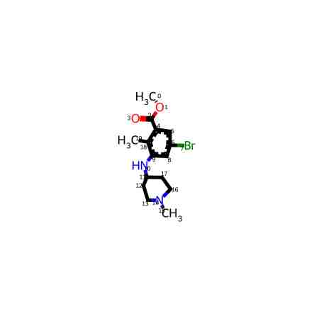 COC(=O)c1cc(Br)cc(NC2CCN(C)CC2)c1C